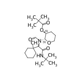 CC(C)(C)NC(=O)C(N(C=O)[C@H]1OCCC[C@@H]1OC(=O)C(C)(C)C)C1(C)CCCCC1